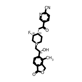 Cc1c([C@@H](O)CN2CC[C@@H](CC(=O)c3ccc(C#N)nc3)[C@@H](F)C2)ccc2c1COC2=O